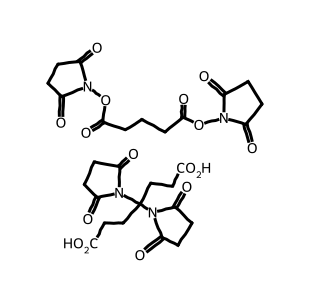 O=C(CCCC(=O)ON1C(=O)CCC1=O)ON1C(=O)CCC1=O.O=C(O)CCC(CCC(=O)O)(N1C(=O)CCC1=O)N1C(=O)CCC1=O